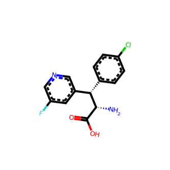 N[C@H](C(=O)O)[C@@H](c1ccc(Cl)cc1)c1cncc(F)c1